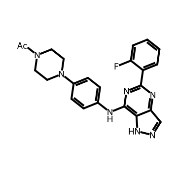 CC(=O)N1CCN(c2ccc(Nc3nc(-c4ccccc4F)nc4cn[nH]c34)cc2)CC1